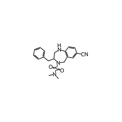 CN(C)S(=O)(=O)N1Cc2cc(C#N)ccc2NCC1Cc1ccccc1